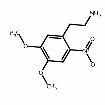 COc1cc(CCN)c([N+](=O)[O-])cc1OC